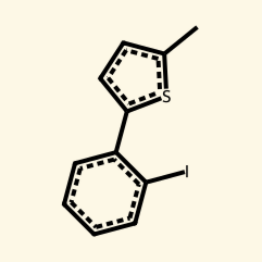 Cc1ccc(-c2ccccc2I)s1